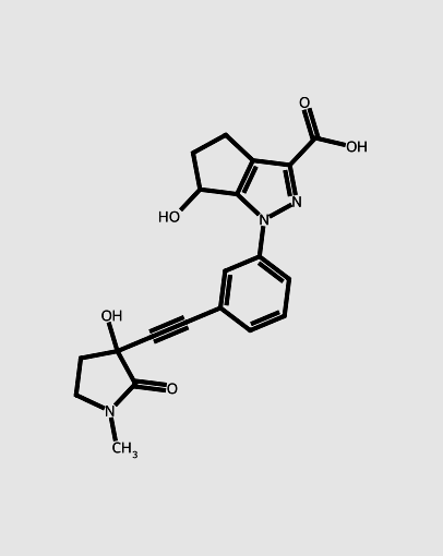 CN1CCC(O)(C#Cc2cccc(-n3nc(C(=O)O)c4c3C(O)CC4)c2)C1=O